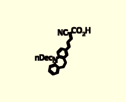 CCCCCCCCCCN1c2ccccc2CCc2cc(/C=C/C=C(\C#N)C(=O)O)ccc21